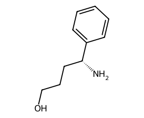 N[C@H](CCCO)c1ccccc1